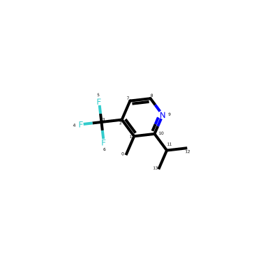 Cc1c(C(F)(F)F)ccnc1C(C)C